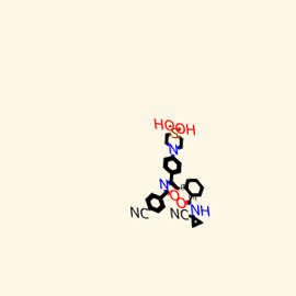 N#Cc1ccc(-c2nc(-c3ccc(N4CCS(O)(O)CC4)cc3)c([C@@H]3CCCC[C@H]3C(=O)NC3(C#N)CC3)o2)cc1